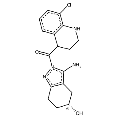 Nc1c2c(nn1C(=O)C1CCNc3c(Cl)cccc31)CC[C@@H](O)C2